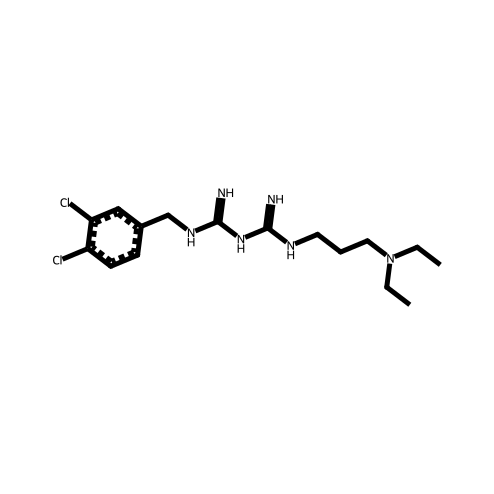 CCN(CC)CCCNC(=N)NC(=N)NCc1ccc(Cl)c(Cl)c1